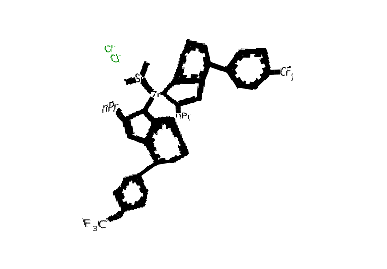 CCCC1=Cc2c(-c3ccc(C(F)(F)F)cc3)cccc2[CH]1[Zr+2]([CH]1C(CCC)=Cc2c(-c3ccc(C(F)(F)F)cc3)cccc21)=[Si](C)C.[Cl-].[Cl-]